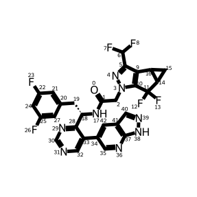 O=C(Cn1nc(C(F)F)c2c1C(F)(F)C1CC21)N[C@@H](Cc1cc(F)cc(F)c1)c1ncncc1-c1cnc2[nH]ncc2c1